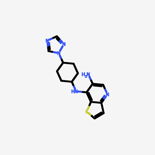 Nc1cnc2ccsc2c1NC1CCC(n2cncn2)CC1